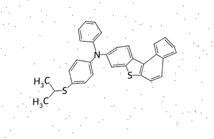 CC(C)Sc1ccc(N(c2ccccc2)c2ccc3c(c2)sc2ccc4ccccc4c23)cc1